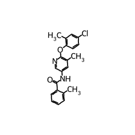 Cc1cc(Cl)ccc1Oc1ncc(NC(=O)c2ccccc2C)cc1C